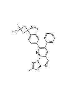 Cc1cc2ncc3cc(-c4ccccc4)c(-c4ccc(C5(N)CC(C)(O)C5)cc4)nc3n2n1